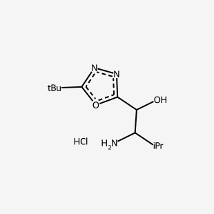 CC(C)C(N)C(O)c1nnc(C(C)(C)C)o1.Cl